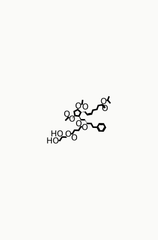 CC(=O)O[C@H]1C[C@@H](OC(C)=O)[C@H](CC[C@H](CCc2ccccc2)OC(=O)CCC(=O)OCC(O)CO)[C@H]1C/C=C\CCCC(=O)OC(C)C